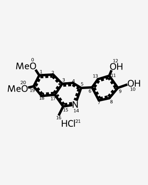 COc1cc2cc(-c3ccc(O)c(O)c3)nc(C)c2cc1OC.Cl